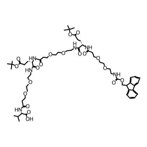 CC(C)[C@H](NC(=O)CCOCCOCCNC(=O)[C@H](CCC(=O)OC(C)(C)C)NC(=O)CCOCCOCCNC(=O)[C@H](CCC(=O)OC(C)(C)C)NC(=O)CCOCCOCCNC(=O)OCC1c2ccccc2-c2ccccc21)C(=O)O